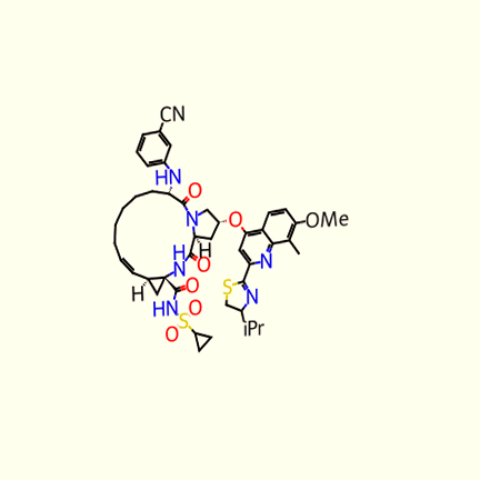 COc1ccc2c(O[C@@H]3C[C@H]4C(=O)N[C@]5(C(=O)NS(=O)(=O)C6CC6)C[C@H]5/C=C\CCCCC[C@H](Nc5cccc(C#N)c5)C(=O)N4C3)cc(C3=NC(C(C)C)CS3)nc2c1C